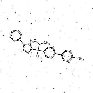 CC(C)C(C)(c1ccc(-c2cnc(N)nc2)cc1)c1noc(-c2cccnc2)n1